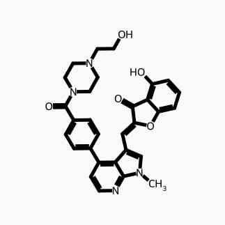 Cn1cc(/C=C2\Oc3cccc(O)c3C2=O)c2c(-c3ccc(C(=O)N4CCN(CCO)CC4)cc3)ccnc21